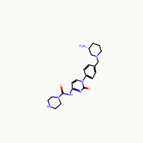 N[C@@H]1CCCN(Cc2ccc(-n3ccc(NC(=O)N4CCNCC4)nc3=O)cc2)C1